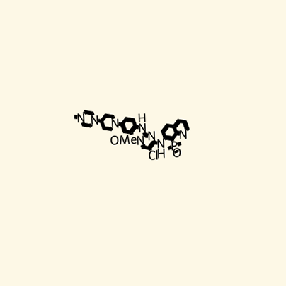 COc1cc(N2CCC(N3CCN(C)CC3)CC2)ccc1Nc1ncc(Cl)c(Nc2ccc3cccnc3c2P(C)(C)=O)n1